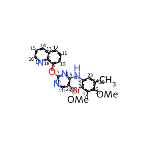 COc1cc(Nc2nc(Oc3cccc4cccnc34)ncc2Br)cc(C)c1OC